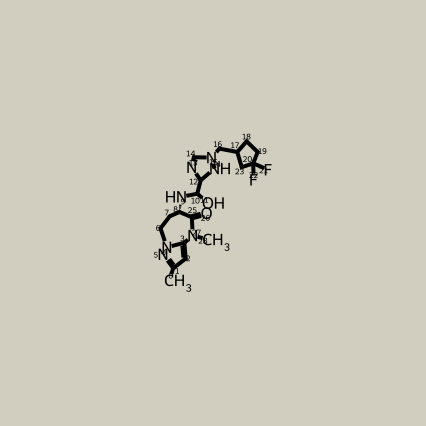 Cc1cc2n(n1)CC[C@H](NC(O)C1N=CN(CC3CCC(F)(F)C3)N1)C(=O)N2C